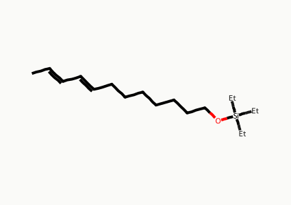 CC=CC=CCCCCCCCO[Si](CC)(CC)CC